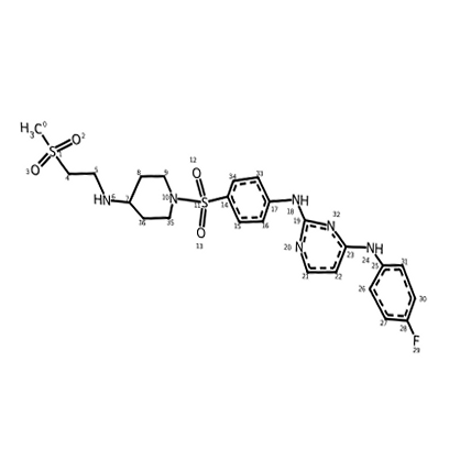 CS(=O)(=O)CCNC1CCN(S(=O)(=O)c2ccc(Nc3nccc(Nc4ccc(F)cc4)n3)cc2)CC1